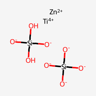 [O-][Si]([O-])(O)O.[O-][Si]([O-])([O-])[O-].[Ti+4].[Zn+2]